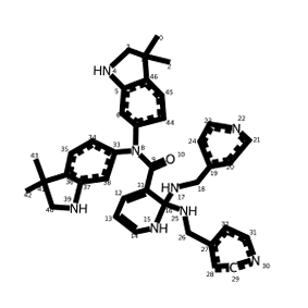 CC1(C)CNc2cc(N(C(=O)C3=CC=CNC3(NCc3ccncc3)NCc3ccncc3)c3ccc4c(c3)NCC4(C)C)ccc21